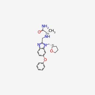 C[C@H](NCc1nc2ccc(Oc3ccccc3)cc2n1C[C@@H]1CCCO1)C(N)=O